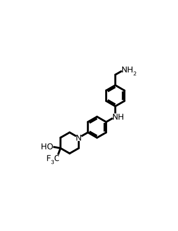 NCc1ccc(Nc2ccc(N3CCC(O)(C(F)(F)F)CC3)cc2)cc1